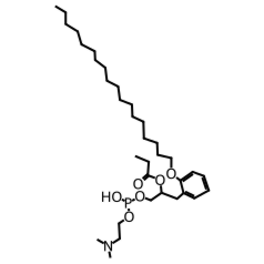 CCCCCCCCCCCCCCCCCCOc1ccccc1CC(COP(O)OCCN(C)C)OC(=O)CC